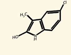 Cc1c(O)[nH]c2ccc(Cl)cc12